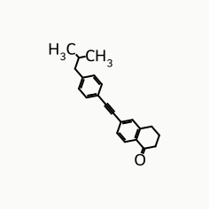 CC(C)Cc1ccc(C#Cc2ccc3c(c2)CCCC3=O)cc1